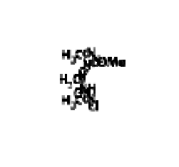 COc1ccc(N(Cc2cnccc2C)C2CCN([C@H](C)CCNC(=O)c3c(C)cc(Cl)nc3Cl)CC2)cn1